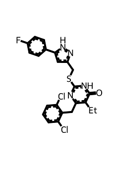 CCc1c(Cc2c(Cl)cccc2Cl)nc(SCc2cc(-c3ccc(F)cc3)[nH]n2)[nH]c1=O